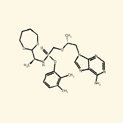 Cc1cccc(OP(=O)(CO[C@H](C)Cn2cnc3c(N)ncnc32)N[C@@H](C)C2OCCCCO2)c1C